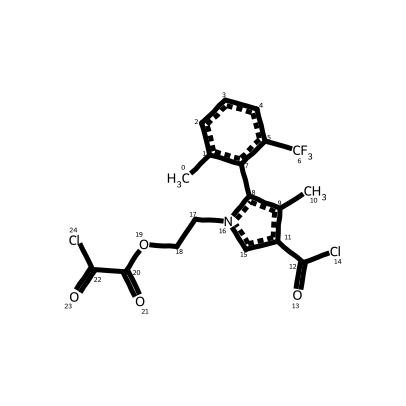 Cc1cccc(C(F)(F)F)c1-c1c(C)c(C(=O)Cl)cn1CCOC(=O)C(=O)Cl